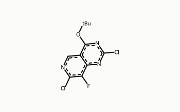 CC(C)(C)Oc1nc(Cl)nc2c(F)c(Cl)ncc12